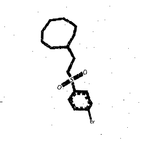 O=S(=O)(CCC1CCCCCCC1)c1ccc(Br)cc1